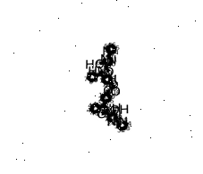 O=C(NC(c1ccccc1)c1ccc(O[PH](=O)Oc2ccc(C(NC(=O)c3cnc(-c4ccccn4)nc3O)c3ccccc3)cc2)cc1)c1cnc(-c2ccccn2)nc1O